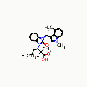 CCCC(n1c(=O)n(Cc2cn(C)c3cccc(C)c23)c2ccccc21)C(C)(C)C(=O)O